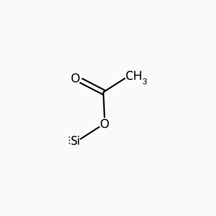 CC(=O)O[Si]